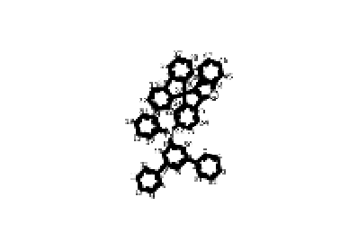 c1ccc(-c2cc(-c3ccccc3)cc(N(c3ccccc3)c3ccc4c(c3)C3(c5ccccc5-c5ccccc53)c3c-4oc4ccccc34)c2)cc1